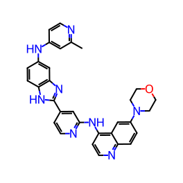 Cc1cc(Nc2ccc3[nH]c(-c4ccnc(Nc5ccnc6ccc(N7CCOCC7)cc56)c4)nc3c2)ccn1